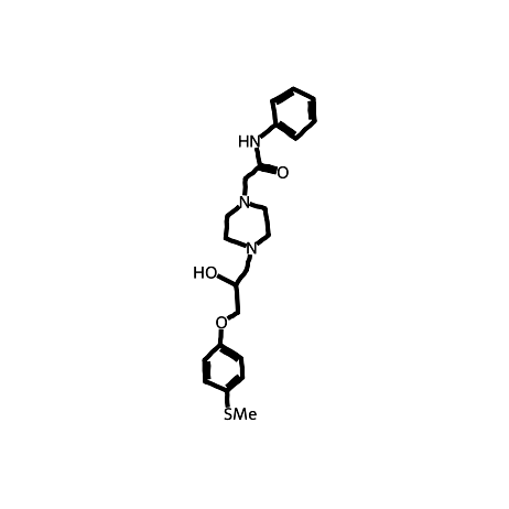 CSc1ccc(OCC(O)CN2CCN(CC(=O)Nc3ccccc3)CC2)cc1